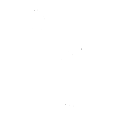 CCCCCCCC/C=C\CCCCCCCC(=O)OCCC.O=P(O)(O)O